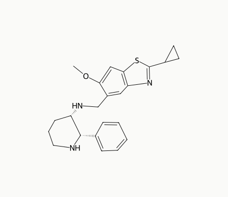 COc1cc2sc(C3CC3)nc2cc1CN[C@H]1CCCN[C@H]1c1ccccc1